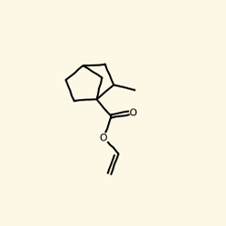 C=COC(=O)C12CCC(CC1C)C2